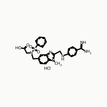 Cl.Cn1c(CNc2ccc(C(=N)N)cc2)nc2cc(CN(CC(=O)O)S(=O)(=O)c3ccccc3)ccc21